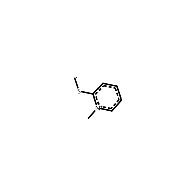 [CH2]Sc1cccc[n+]1C